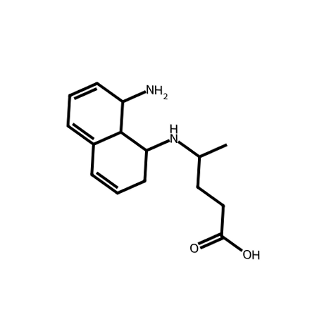 CC(CCC(=O)O)NC1CC=CC2=CC=CC(N)C21